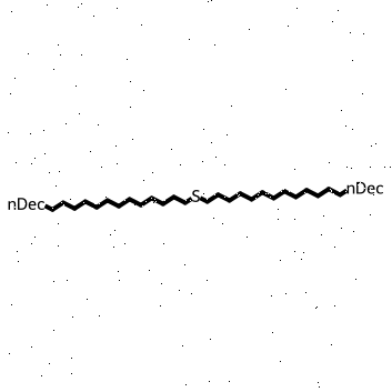 CCCCCCCCCCCCCCCCCCCCCCCSCCCCCCCCCCCCCCCCCCCCCCC